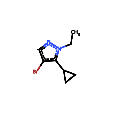 CCn1n[c]c(Br)c1C1CC1